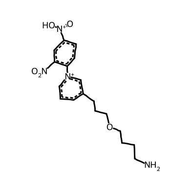 NCCCCOCCCc1ccc[n+](-c2ccc([N+](=O)O)cc2[N+](=O)[O-])c1